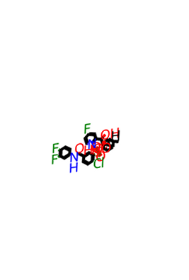 C[C@H]1C2CC(S(=O)(=O)c3cc(C(=O)Nc4ccc(F)c(F)c4)ccc3Cl)CC1[C@@]2(O)C(O)C(O)c1cc(F)ccn1